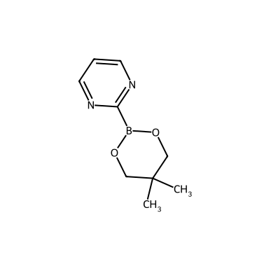 CC1(C)COB(c2ncccn2)OC1